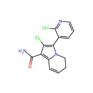 NC(=O)c1c(Cl)c(-c2cccnc2Cl)n2c1C=CCC2